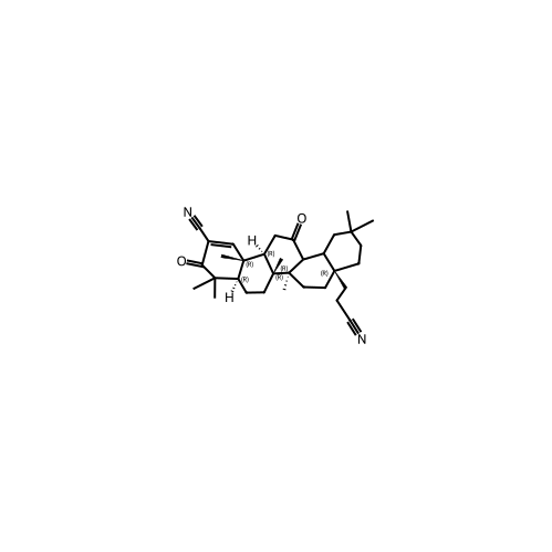 CC1(C)CC[C@]2(CCC#N)CC[C@]3(C)C(C(=O)C[C@@H]4[C@@]5(C)C=C(C#N)C(=O)C(C)(C)[C@@H]5CC[C@]43C)C2C1